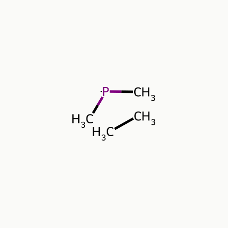 CC.C[P]C